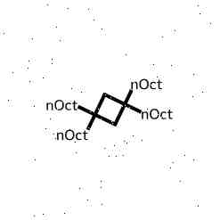 CCCCCCCCC1(CCCCCCCC)CC(CCCCCCCC)(CCCCCCCC)C1